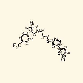 FC(F)(F)c1ccc([C@]23C[C@H]2CN(CCCSc2nnc(-c4ccc(Cl)s4)s2)C3)cc1